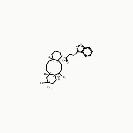 C[C@@H]1CC[C@@]2(C)[C@H](CCC[C@H]3C[C@](C)(O)CC[C@@]31C)CCC[C@@H]2C(=O)COc1noc2ccccc12